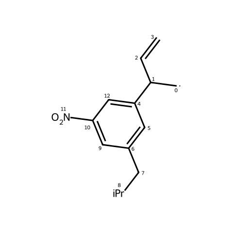 [CH2]C(C=C)c1cc(CC(C)C)cc([N+](=O)[O-])c1